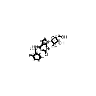 C[C@H](Nc1nc(Cl)nc2c1ccn2[C@@H]1O[C@H](CO)[C@@H](O)[C@H]1O)c1ccccc1F